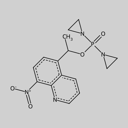 CC(OP(=O)(N1CC1)N1CC1)c1ccc([N+](=O)[O-])c2ncccc12